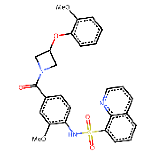 COc1cc(C(=O)N2CC(Oc3ccccc3OC)C2)ccc1NS(=O)(=O)c1cccc2cccnc12